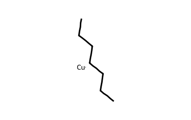 CCCCCCC.[Cu]